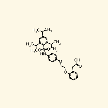 CC(C)c1cc(C(C)C)c(S(=O)(=O)Nc2ccc(OCCOc3ccccc3CC(=O)O)cc2)c(C(C)C)c1